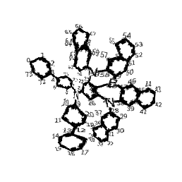 c1ccc(-c2ccc(N(c3ccc(-c4ccccc4)cc3)c3cc4c5c(c3)N(c3ccc6ccccc6c3)c3cc6ccccc6cc3B5c3cc5ccccc5cc3N4c3ccc4ccccc4c3)cc2)cc1